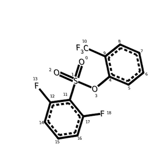 O=S(=O)(Oc1ccccc1C(F)(F)F)c1c(F)cccc1F